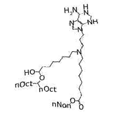 CCCCCCCCCOC(=O)CCCCCCCN(CCCCCCCC(O)OC(CCCCCCCC)CCCCCCCC)CCCn1cnc2c1NCNC2N